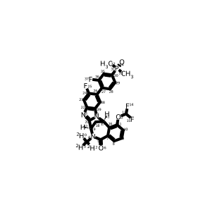 [2H]C([2H])([2H])N1C(=O)c2cccc(OC(F)F)c2[C@H]2C[C@@H]1c1nc3cc(F)c(-c4ccc(P(C)(C)=O)cc4F)cc3n12